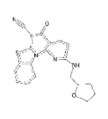 N#Cc1c(=O)c2ccc(NCC3CCCO3)nc2n2c1sc1ccccc12